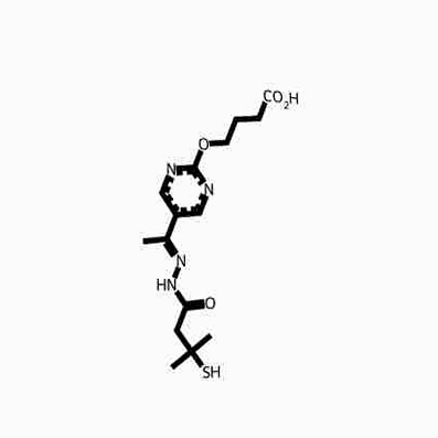 CC(=NNC(=O)CC(C)(C)S)c1cnc(OCCCC(=O)O)nc1